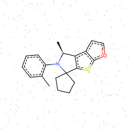 Cc1ccccc1N1[C@@H](C)c2c(sc3occc23)C12CCCC2